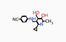 Cc1nc(C2CC2)c(CNc2ccc(C#N)cc2)c(CO)c1O